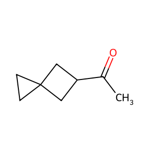 CC(=O)C1CC2(CC2)C1